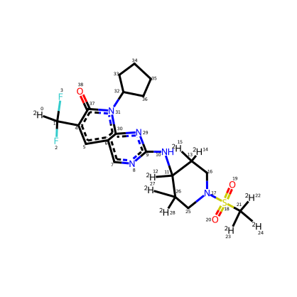 [2H]C(F)(F)c1cc2cnc(NC3([2H])C([2H])([2H])CN(S(=O)(=O)C([2H])([2H])[2H])CC3([2H])[2H])nc2n(C2CCCC2)c1=O